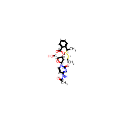 CCSSC(C)c1ccccc1C(=O)O[C@@H]1C[C@H](n2ccc(NC(C)=O)nc2=O)O[C@@H]1CO